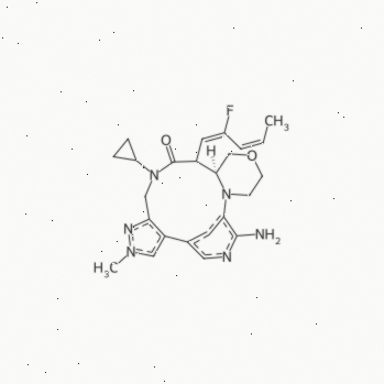 C/C=C\C(F)=C/C1C(=O)N(C2CC2)Cc2nn(C)cc2-c2cnc(N)c(c2)N2CCOC[C@H]12